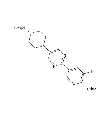 CCCCCCCC1CCC(c2cnc(-c3ccc(CCCCCC)c(F)c3)nc2)CC1